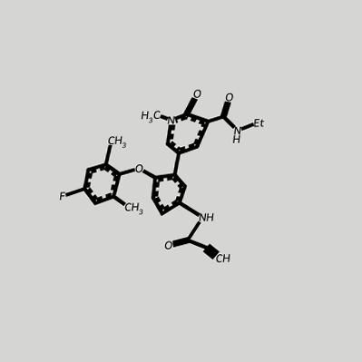 C#CC(=O)Nc1ccc(Oc2c(C)cc(F)cc2C)c(-c2cc(C(=O)NCC)c(=O)n(C)c2)c1